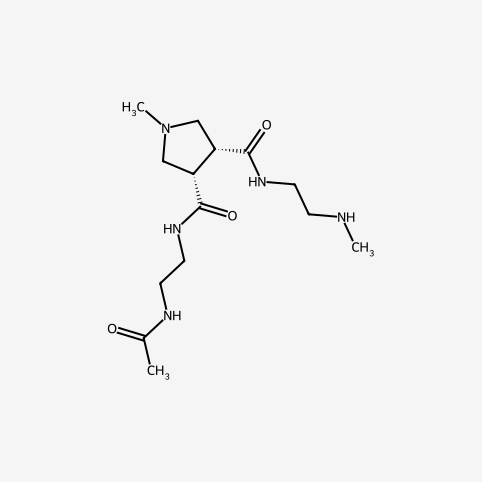 CNCCNC(=O)[C@H]1CN(C)C[C@H]1C(=O)NCCNC(C)=O